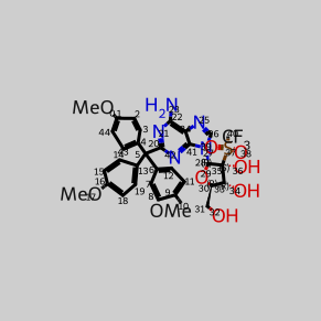 COc1ccc(C(c2ccc(OC)cc2)(c2ccc(OC)cc2)c2nc(N)c3ncn([C@@H]4O[C@H](CO)[C@@H](O)[C@]4(O)S(=O)(=O)C(F)(F)F)c3n2)cc1